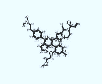 C=CC(=O)N1CCn2nc(-c3nc(-c4ccc(CCN(C)C)cc4)c4ccsc4c3-c3c(F)cc(F)cc3OCCOC)cc2C1C